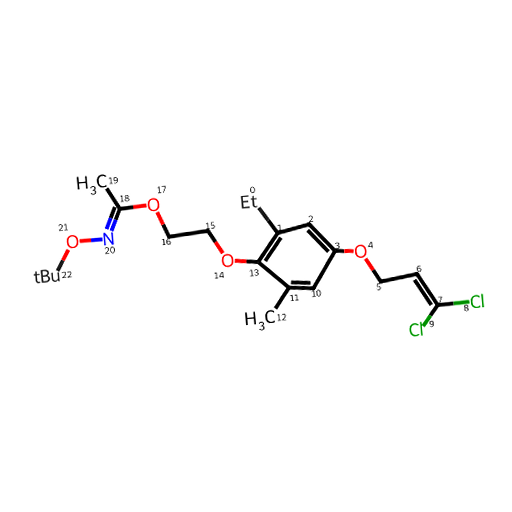 CCc1cc(OCC=C(Cl)Cl)cc(C)c1OCCOC(C)=NOC(C)(C)C